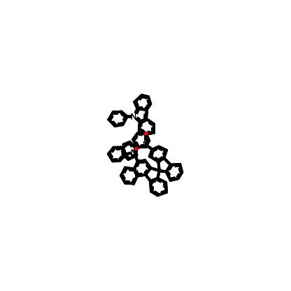 c1ccc(N(c2ccc3c(c2)C2(c4ccccc4-3)c3ccccc3-c3c2cc(N(c2ccccc2)c2ccccc2)c2ccccc32)c2ccc3c4ccccc4n(-c4ccccc4)c3c2)cc1